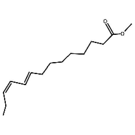 CC/C=C\C=C\CCCCCCCC(=O)OC